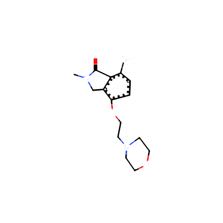 CN1Cc2c(OCCN3CCOCC3)ccc([N+](=O)[O-])c2C1=O